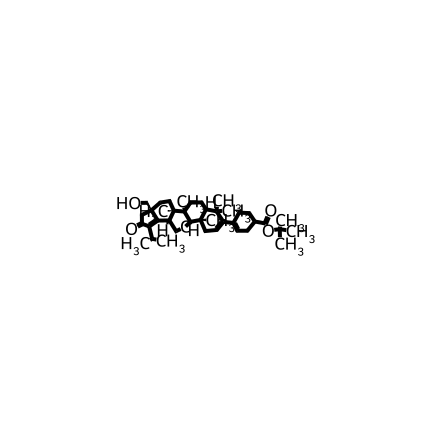 CC(C)C1=C2[C@H]3CC[C@@H]4[C@@]5(C)CC=C(C6=CCC(C(=O)OC(C)(C)C)CC6)C(C)(C)[C@@H]5CC[C@@]4(C)[C@]3(C)CC[C@@]2(CO)CC1=O